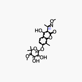 CO/N=C(\C)c1c(O)c2ccc(O[C@@H]3OC(C)(C)[C@H](OC)[C@@H](O)[C@H]3O)c(C)c2oc1=O